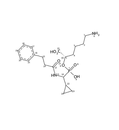 NCCCC[C@H](OP(=O)(O)C(NC(=O)CCc1ccccc1)C1CC1)C(=O)O